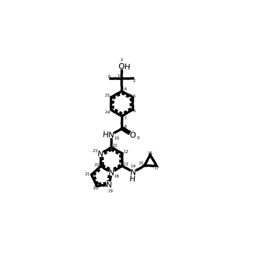 CC(C)(O)c1ccc(C(=O)Nc2cc(NC3CC3)n3nccc3n2)cc1